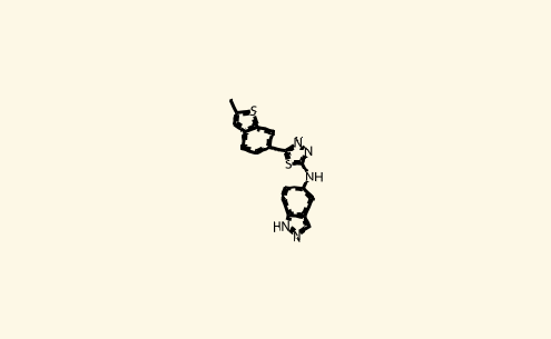 Cc1cc2ccc(-c3nnc(Nc4ccc5[nH]ncc5c4)s3)cc2s1